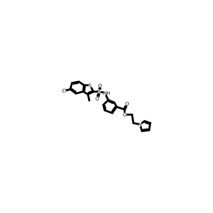 Cc1c(S(=O)(=O)Nc2cccc(C(=O)OCCn3cccc3)c2)sc2ccc(Cl)cc12